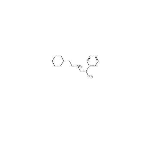 CC(C[SiH2]CCC1CCCCC1)c1ccccc1